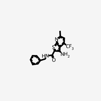 Cc1cc(C(F)(F)F)c2c(N)c(C(=O)NCc3ccccc3)sc2n1